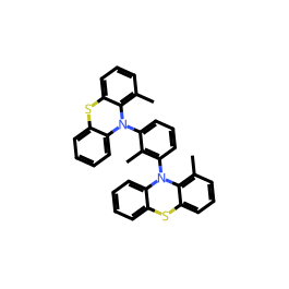 Cc1cccc2c1N(c1cccc(N3c4ccccc4Sc4cccc(C)c43)c1C)c1ccccc1S2